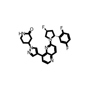 O=C1CC(n2cc(-c3ccnc4ccc(N5C[C@@H](F)C[C@@H]5c5cc(F)ccc5F)nc34)cn2)CCN1